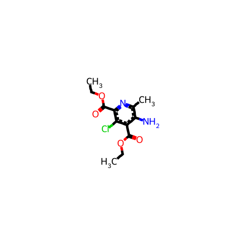 CCOC(=O)c1nc(C)c(N)c(C(=O)OCC)c1Cl